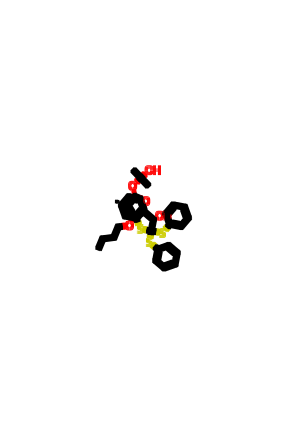 CCCCOC1[C@H](C)[C@@H](OC(C)(C)O)O[C@@H]1[C@@H](O)C(Sc1ccccc1)(Sc1ccccc1)Sc1ccccc1